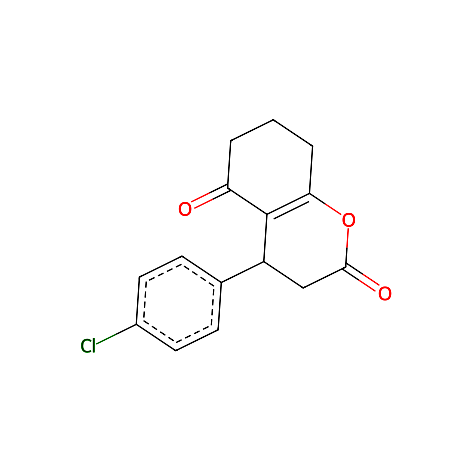 O=C1CC(c2ccc(Cl)cc2)C2=C(CCCC2=O)O1